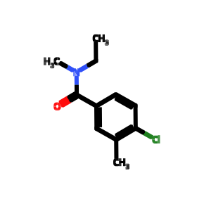 CCN(C)C(=O)c1ccc(Cl)c(C)c1